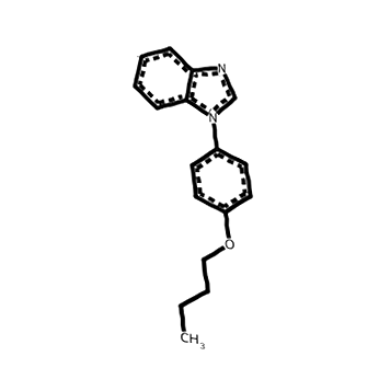 CCCCOc1ccc(-n2cnc3c[c]ccc32)cc1